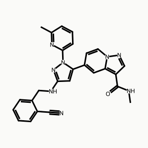 CNC(=O)c1cnn2ccc(-c3cc(NCc4ccccc4C#N)nn3-c3cccc(C)n3)cc12